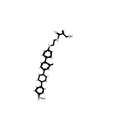 C=C(CO)C(=O)OCCOc1ccc(-c2ccc(C3CCC(c4ccc(CCCCC)cc4)CC3)cc2C)cc1